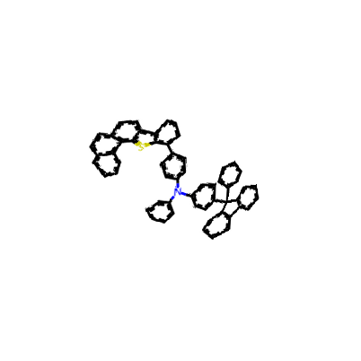 c1ccc(N(c2ccc(-c3cccc4c3sc3c4ccc4ccc5ccccc5c43)cc2)c2ccc(C3(c4ccccc4)c4ccccc4-c4ccccc43)cc2)cc1